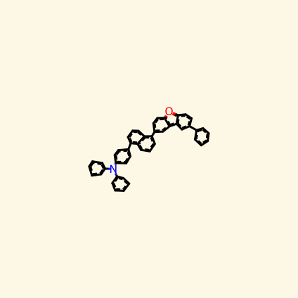 c1ccc(-c2ccc3oc4ccc(-c5cccc6c(-c7ccc(N(c8ccccc8)c8ccccc8)cc7)cccc56)cc4c3c2)cc1